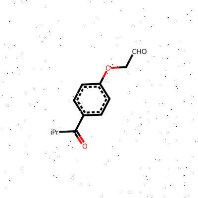 CC(C)C(=O)c1ccc(OCC=O)cc1